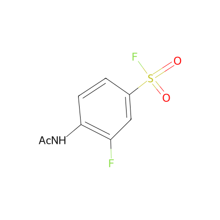 CC(=O)Nc1ccc(S(=O)(=O)F)cc1F